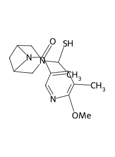 COc1ncc(C(=O)N2C3CC2CN(C(C)S)C3)cc1C